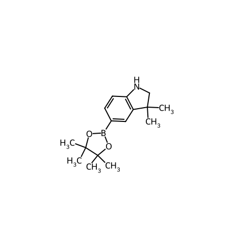 CC1(C)CNc2ccc(B3OC(C)(C)C(C)(C)O3)cc21